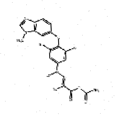 CCN(/N=C(\C#N)C(=O)OC(N)=O)c1cc(Br)c(Oc2ccc3ncn(C)c3c2)c(Br)c1